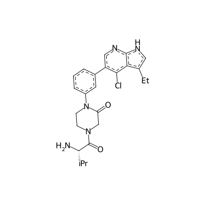 CCc1c[nH]c2ncc(-c3cccc(N4CCN(C(=O)[C@@H](N)C(C)C)CC4=O)c3)c(Cl)c12